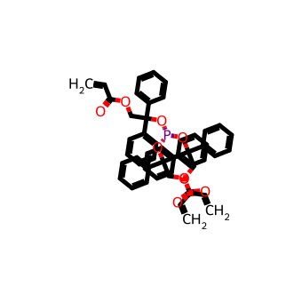 C=CC(=O)OCC(OP(OC(COC(=O)C=C)(c1ccccc1)c1ccccc1)OC(COC(=O)C=C)(c1ccccc1)c1ccccc1)(c1ccccc1)c1ccccc1